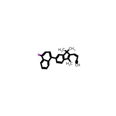 C#C/C=C\C1=C(C)c2ccc(-c3ccc(I)c4ccccc34)cc2C1(C)C